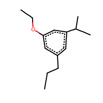 CCCc1cc(OCC)cc([C](C)C)c1